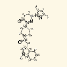 Cc1cc(C)n(-c2ccc(=O)n(C3CCN(C(=O)Cc4cn(C)c5ccccc45)CC3)n2)n1